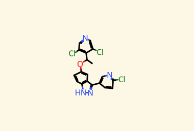 CC(Oc1ccc2[nH]nc(-c3ccc(Cl)nc3)c2c1)c1c(Cl)cncc1Cl